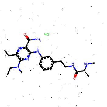 CCc1nc(C(N)=O)c(Nc2cccc(CCNC(=O)[C@H](C)NC)c2)nc1N(C)CC.Cl